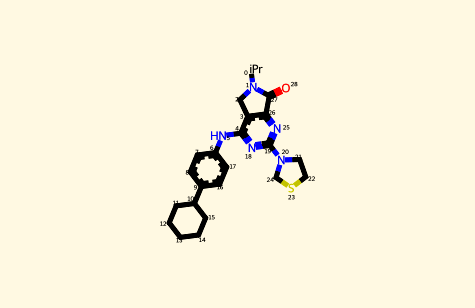 CC(C)N1Cc2c(Nc3ccc(C4CCCCC4)cc3)nc(N3CCSC3)nc2C1=O